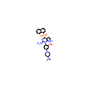 COc1cc(N2CCC(N(C)C)CC2)ccc1N1c2[nH]ccc2C(S(=O)(=O)c2cccc3ccccc23)=NC1N